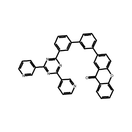 O=c1c2ccccc2oc2ccc(-c3cccc(-c4cccc(-c5nc(-c6cccnc6)nc(-c6cccnc6)n5)c4)c3)cc12